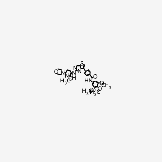 COc1cc(NC(=O)c2ccc(-c3csc4cnc(Nc5ccc(N6CCOCC6)nc5OC)nc34)cc2)cc(OC)c1OC